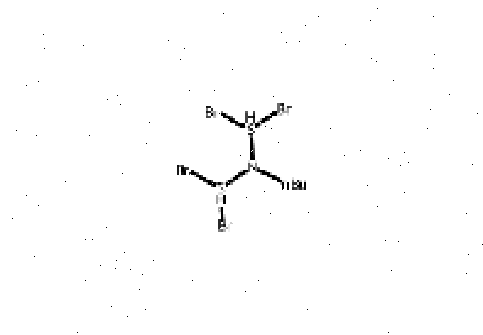 CCCCN([SH](Br)Br)[SH](Br)Br